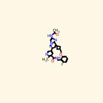 CC(=O)Nc1cn2nc(-c3cnc(C)c(C(=O)NCc4c(F)cccc4OCC4CCC4)c3)ccc2n1